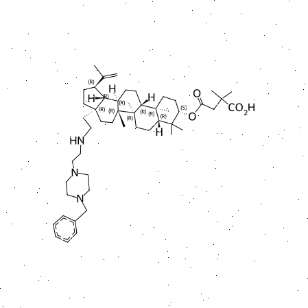 C=C(C)[C@@H]1CC[C@]2(CCNCCN3CCN(Cc4ccccc4)CC3)CC[C@]3(C)[C@H](CC[C@@H]4[C@@]5(C)CC[C@H](OC(=O)CC(C)(C)C(=O)O)C(C)(C)[C@@H]5CC[C@]43C)[C@@H]12